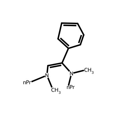 CCCN(C)C=C(c1ccccc1)N(C)CCC